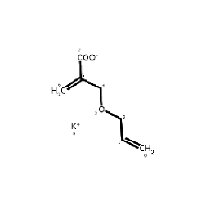 C=CCOCC(=C)C(=O)[O-].[K+]